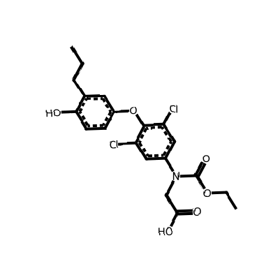 CCCc1cc(Oc2c(Cl)cc(N(CC(=O)O)C(=O)OCC)cc2Cl)ccc1O